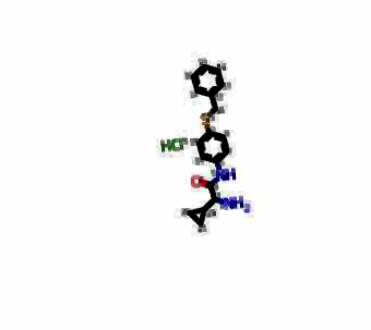 Cl.NC(C(=O)Nc1ccc(SCc2ccccc2)cc1)C1CC1